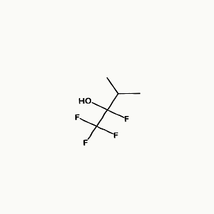 CC(C)C(O)(F)C(F)(F)F